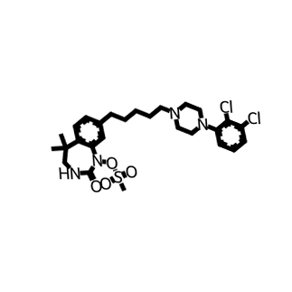 CC1(C)CNC(=O)N(OS(C)(=O)=O)c2cc(CCCCCN3CCN(c4cccc(Cl)c4Cl)CC3)ccc21